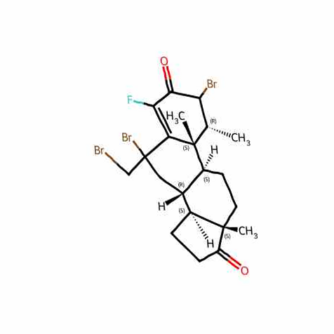 C[C@H]1C(Br)C(=O)C(F)=C2C(Br)(CBr)C[C@@H]3[C@H](CC[C@]4(C)C(=O)CC[C@@H]34)[C@]21C